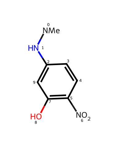 CNNc1ccc([N+](=O)[O-])c(O)c1